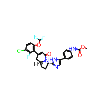 COC(=O)Nc1ccc(-c2cnc([C@@H]3CC[C@@H]4CC(c5c(OC(F)F)ccc(Cl)c5F)=CC(=O)N43)[nH]2)cc1